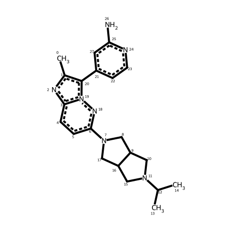 Cc1nc2ccc(N3CC4CN(C(C)C)CC4C3)nn2c1-c1ccnc(N)c1